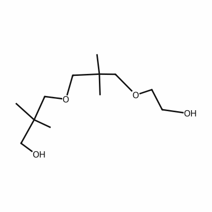 CC(C)(CO)COCC(C)(C)COCCO